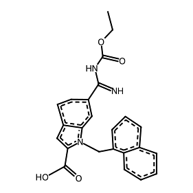 CCOC(=O)NC(=N)c1ccc2cc(C(=O)O)n(Cc3cccc4ccccc34)c2c1